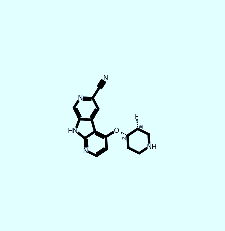 N#Cc1cc2c(cn1)[nH]c1nccc(O[C@H]3CCNC[C@H]3F)c12